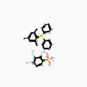 Cc1cc(C)c([S+](c2ccccc2)c2ccccc2)c(C)c1.O=S(=O)([O-])c1ccc(F)c(F)c1F